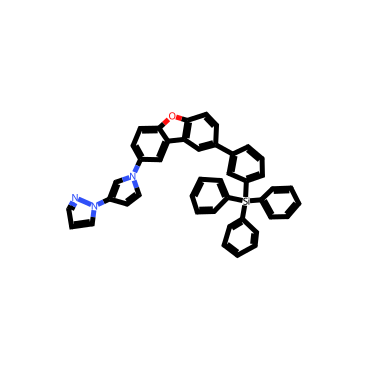 c1ccc([Si](c2ccccc2)(c2ccccc2)c2cccc(-c3ccc4oc5ccc(-n6ccc(-n7cccn7)c6)cc5c4c3)c2)cc1